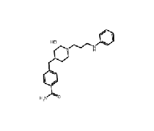 Cl.NC(=O)c1ccc(CC2CCN(CCCNc3ccccc3)CC2)cc1